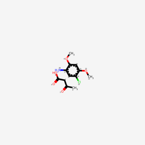 CC(=O)CC(=O)O.COc1cc(OC)c(Cl)cc1N